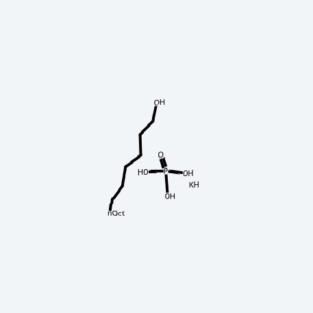 CCCCCCCCCCCCCCO.O=P(O)(O)O.[KH]